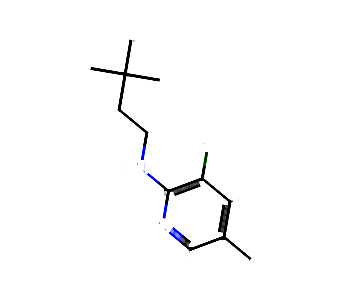 Cc1cnc(NCCC(C)(C)C)c(Cl)c1